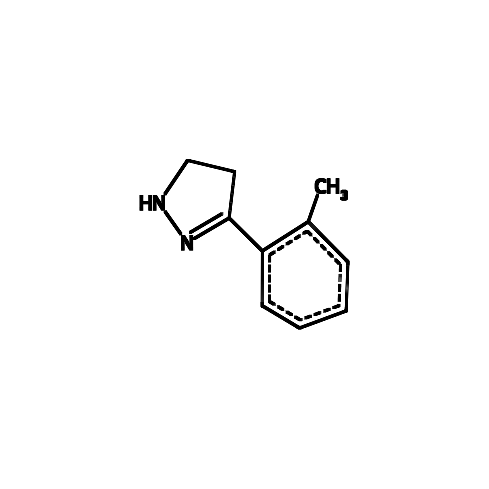 Cc1ccccc1C1=NNCC1